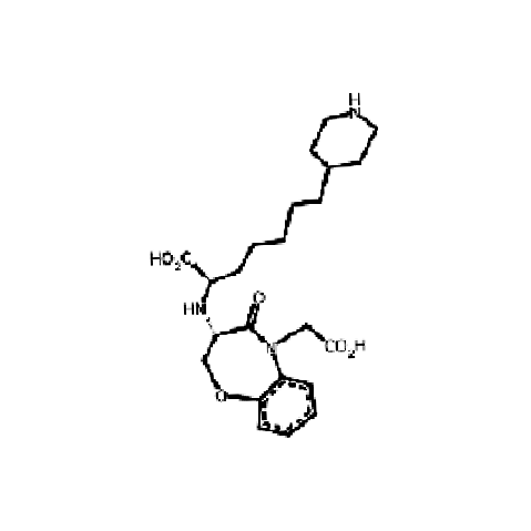 O=C(O)CN1C(=O)[C@@H](N[C@H](CCCCCC2CCNCC2)C(=O)O)COc2ccccc21